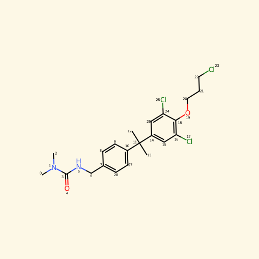 CN(C)C(=O)NCc1ccc(C(C)(C)c2cc(Cl)c(OCCCCl)c(Cl)c2)cc1